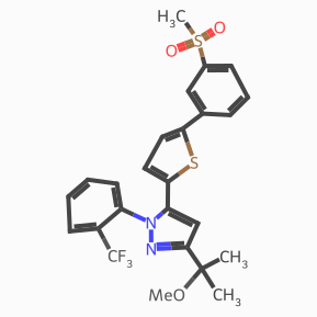 COC(C)(C)c1cc(-c2ccc(-c3cccc(S(C)(=O)=O)c3)s2)n(-c2ccccc2C(F)(F)F)n1